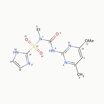 CCN(C(=O)Nc1nc(C)cc(OC)n1)S(=O)(=O)c1ncc[nH]1